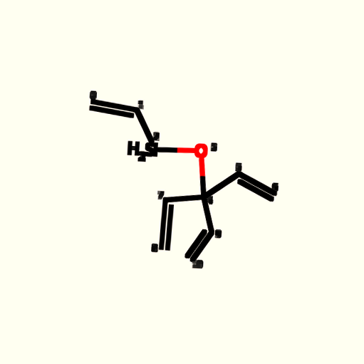 C=C[SiH2]OC(C=C)(C=C)C=C